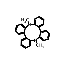 CN1c2ccccc2-c2ccccc2N(C)c2ccccc2-c2ccccc21